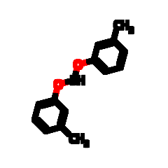 Cc1cccc(OBOc2cccc(C)c2)c1